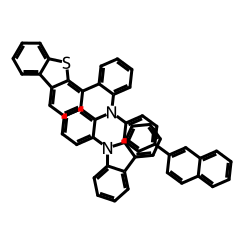 c1ccc(N(c2ccc(-c3ccc4ccccc4c3)cc2)c2ccccc2-n2c3ccccc3c3ccccc32)c(-c2cccc3c2sc2ccccc23)c1